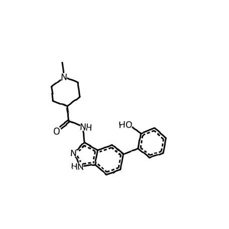 CN1CCC(C(=O)Nc2n[nH]c3ccc(-c4ccccc4O)cc23)CC1